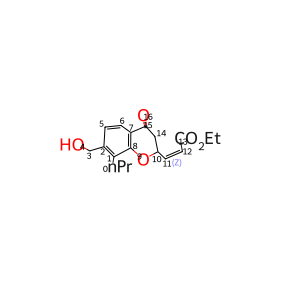 CCCc1c(CO)ccc2c1OC(/C=C\C(=O)OCC)CC2=O